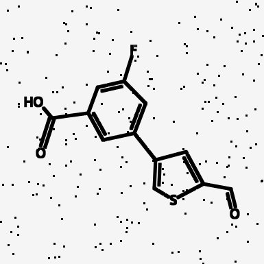 O=Cc1cc(-c2cc(F)cc(C(=O)O)c2)cs1